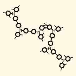 Cc1ccc(N(c2ccc(-c3ccc(N(c4ccc5sc6ccc(N(c7ccc(-c8ccc(N(c9ccc(-c%10ccc(N(c%11ccc(C)cc%11C)c%11ccc(C)cc%11C)cc%10)cc9)c9ccc(C)cc9C)cc8)cc7)c7ccc(C)cc7C)cc6c5c4)c4ccc(C)cc4C)cc3)cc2)c2ccc(-c3ccc(N(c4ccc(C)cc4C)c4ccc(C)cc4C)cc3)cc2)c(C)c1